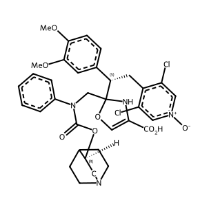 COc1ccc([C@H](Cc2c(Cl)c[n+]([O-])cc2Cl)C2(CN(C(=O)O[C@H]3CN4CCC3CC4)c3ccccc3)NC(C(=O)O)=CO2)cc1OC